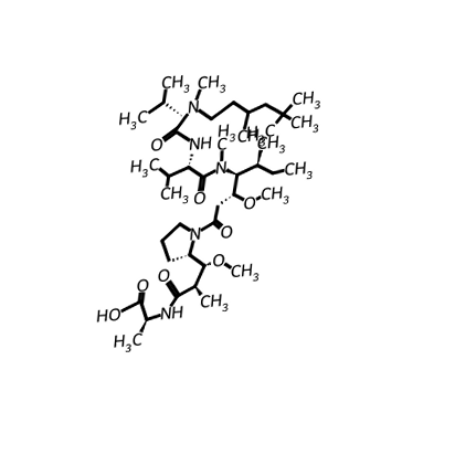 CC[C@H](C)[C@@H]([C@@H](CC(=O)N1CCC[C@H]1[C@H](OC)[C@@H](C)C(=O)N[C@@H](C)C(=O)O)OC)N(C)C(=O)[C@@H](NC(=O)[C@H](C(C)C)N(C)CCC(C)CC(C)(C)C)C(C)C